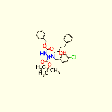 CC(C)(C)OC(=O)N(NC(=O)OCc1ccccc1)N(Cc1ccc(Cl)cc1)C[C@@H](O)CCc1ccccc1